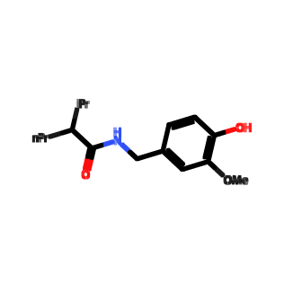 CCCC(C(=O)NCc1ccc(O)c(OC)c1)C(C)C